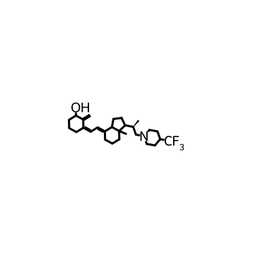 C=C1/C(=C\C=C2/CCCC3(C)C2CCC3[C@@H](C)CN2CCC(C(F)(F)F)CC2)CCCC1O